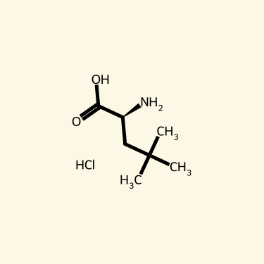 CC(C)(C)C[C@H](N)C(=O)O.Cl